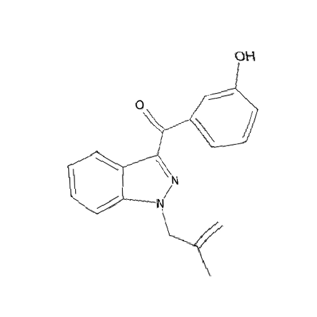 C=C(C)Cn1nc(C(=O)c2cccc(O)c2)c2ccccc21